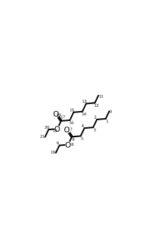 CCCCCCC(=O)OCC.CCCCCCC(=O)OCC